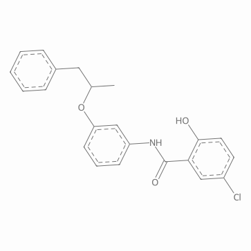 CC(Cc1ccccc1)Oc1cccc(NC(=O)c2cc(Cl)ccc2O)c1